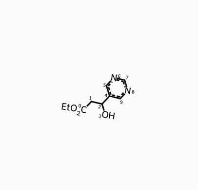 CCOC(=O)CC(O)c1cncnc1